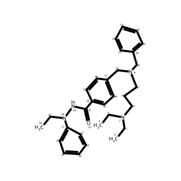 CCN(CC)CCCN(Cc1ccccc1)Cc1ccc(C(=O)NN(CC)c2ccccc2)cc1